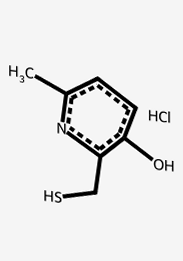 Cc1ccc(O)c(CS)n1.Cl